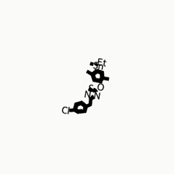 C[CH2][Sn]([CH3])[c]1cc(C)c(Oc2nc(Cc3ccc(Cl)cc3)ns2)cc1C